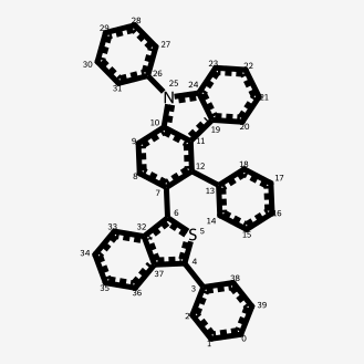 c1ccc(-c2sc(-c3ccc4c(c3-c3ccccc3)c3ccccc3n4-c3ccccc3)c3ccccc23)cc1